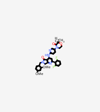 COc1ccc(CN2Cc3nc(-c4c(F)cccc4F)cc(Nc4ccc(N5CCOC(C)(C)C5=O)cn4)c3C2=O)c(OC)c1